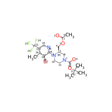 CC(=O)OC[C@H]1CN(C(=O)OC(C)(C)C)CCN1c1ncc(C(F)(F)F)c(C)c1Br